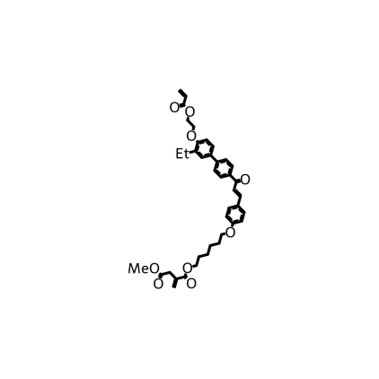 C=CC(=O)OCCOc1ccc(-c2ccc(C(=O)/C=C/c3ccc(OCCCCCCOC(=O)C(=C)CC(=O)OC)cc3)cc2)cc1CC